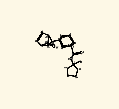 CC1(OC(=O)c2cccc(C3CC4C=CC3C4=O)c2)CCCC1